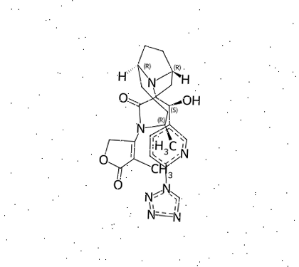 CC1=C(N2C(=O)C3(C[C@H]4CC[C@H](C3)N4C[C@@H](O)c3ccc(-n4cnnn4)nc3)C[C@H]2C)COC1=O